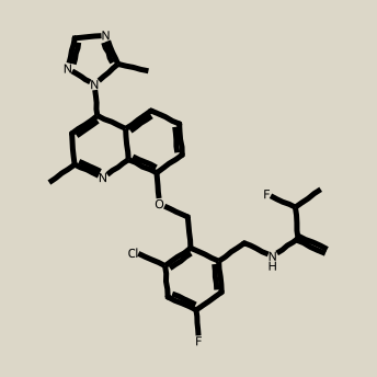 C=C(NCc1cc(F)cc(Cl)c1COc1cccc2c(-n3ncnc3C)cc(C)nc12)C(C)F